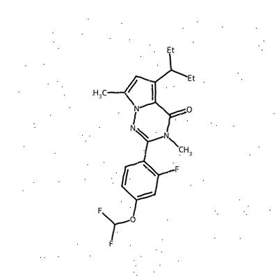 CCC(CC)c1cc(C)n2nc(-c3ccc(OC(F)F)cc3F)n(C)c(=O)c12